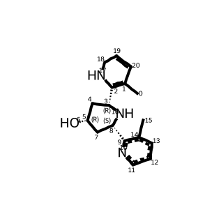 CC1=C([C@H]2C[C@@H](O)C[C@@H](c3ncccc3C)N2)NCC=C1